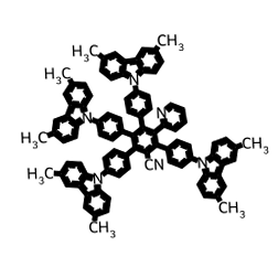 Cc1ccc2c(c1)c1cc(C)ccc1n2-c1ccc(-c2c(C#N)c(-c3ccc(-n4c5ccc(C)cc5c5cc(C)ccc54)cc3)c(-c3ccccn3)c(-c3ccc(-n4c5ccc(C)cc5c5cc(C)ccc54)cc3)c2-c2ccc(-n3c4ccc(C)cc4c4cc(C)ccc43)cc2)cc1